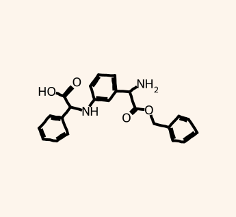 NC(C(=O)OCc1ccccc1)c1cccc(NC(C(=O)O)c2ccccc2)c1